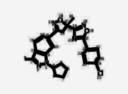 Cc1nn(C2CCCC2)c2cc(C3=NO[C@](C)(c4noc(-c5ccc(Cl)cc5)n4)C3)ccc12